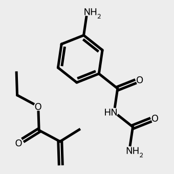 C=C(C)C(=O)OCC.NC(=O)NC(=O)c1cccc(N)c1